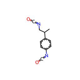 CC(CN=C=O)c1ccc(N=C=O)cc1